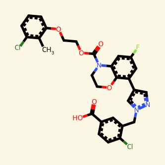 Cc1c(Cl)cccc1OCCOC(=O)N1CCOc2c(-c3cnn(Cc4cc(C(=O)O)ccc4Cl)c3)cc(F)cc21